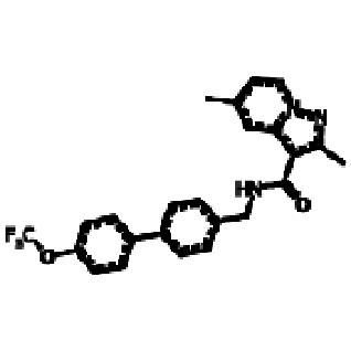 Cc1ccn2nc(C)c(C(=O)NCc3ccc(-c4ccc(OC(F)(F)F)cc4)cc3)c2c1